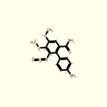 COc1cc(C(N)=O)c(-c2ccc(N)cc2)c(N=C=O)c1OC